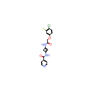 O=C(COc1ccc(Cl)c(F)c1)NC12CC(NC(=O)c3ccncc3)(C1)C2